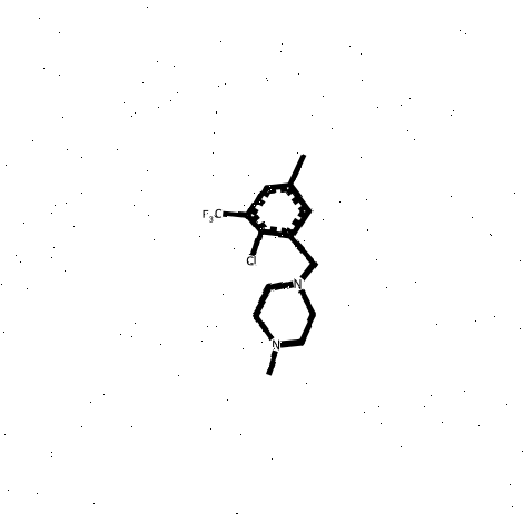 Cc1cc(CN2CCN(C)CC2)c(Cl)c(C(F)(F)F)c1